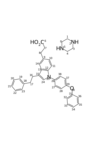 C1CNCCN1.O=C(O)CCc1ccc2c(c1)c(CCc1ccccc1)cn2-c1ccc(Oc2ccccc2)cc1